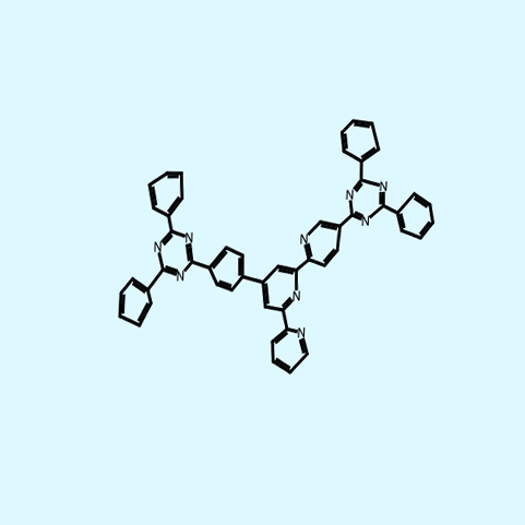 c1ccc(-c2nc(-c3ccccc3)nc(-c3ccc(-c4cc(-c5ccccn5)nc(-c5ccc(-c6nc(-c7ccccc7)nc(-c7ccccc7)n6)cn5)c4)cc3)n2)cc1